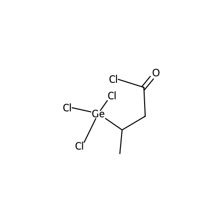 C[CH](CC(=O)Cl)[Ge]([Cl])([Cl])[Cl]